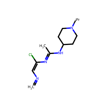 C=N/C=C(Cl)\N=C(/C)NC1CCN(C(C)C)CC1